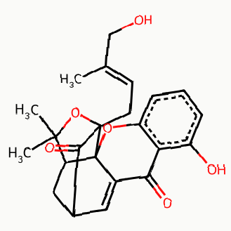 C/C(=C\CC12OC(C)(C)C3CC(C=C4C(=O)c5c(O)cccc5OC431)C2=O)CO